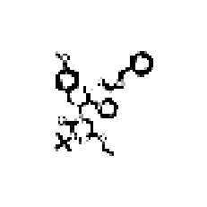 CCOC(=O)CN(C(=O)OC(C)(C)C)[C@H](Cc1ccc(OC)cc1)C(=O)N1CCC[C@H]1C(=O)OCc1ccccc1